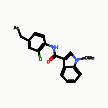 COn1cc(C(=O)Nc2ccc(CC(C)=O)cc2Cl)c2ccccc21